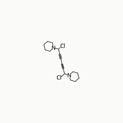 ClC(C#CC#CC(Cl)N1CCCCC1)N1CCCCC1